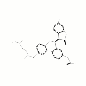 CN(C)CCN(C)Cc1ccc(NC(=C2C(=O)Nc3cc(Cl)ccc32)c2cccc(CC(=O)O)c2)cc1